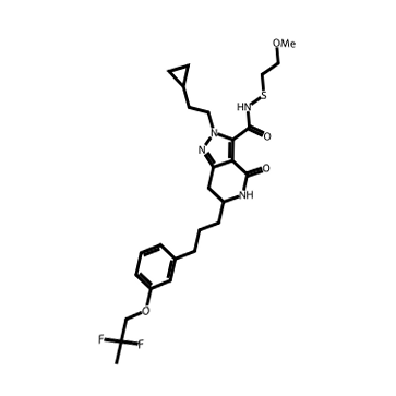 COCCSNC(=O)c1c2c(nn1CCC1CC1)CC(CCCc1cccc(OCC(C)(F)F)c1)NC2=O